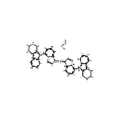 C1=C[CH]([Hf+2][CH]2C=Cc3c2cccc3-n2c3c(c4ccccc42)CCCC3)c2cccc(-n3c4c(c5ccccc53)CCCC4)c21.[Cl-].[Cl-]